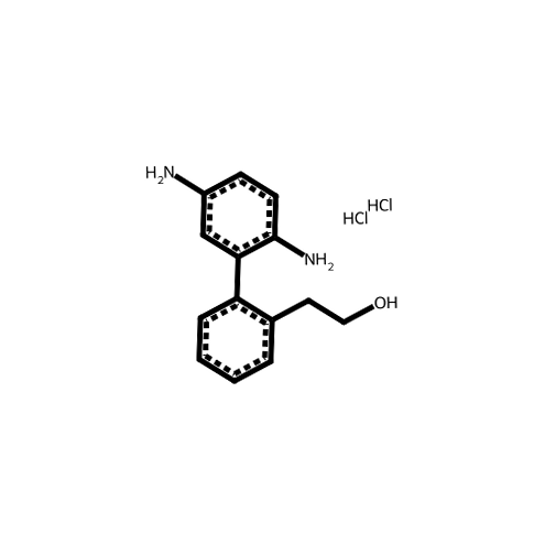 Cl.Cl.Nc1ccc(N)c(-c2ccccc2CCO)c1